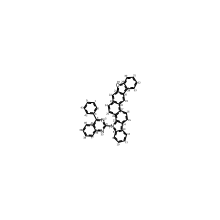 c1ccc(-c2nc(-n3c4ccccc4c4ccc5c6cc7c(cc6ccc5c43)oc3ccccc37)nc3ccccc23)cc1